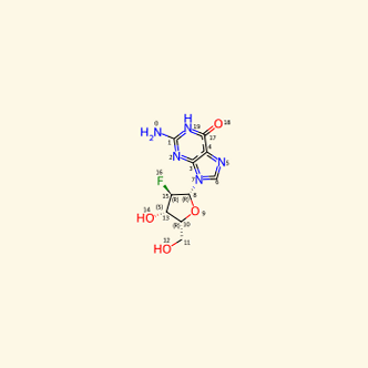 Nc1nc2c(ncn2[C@@H]2O[C@H](CO)[C@H](O)[C@H]2F)c(=O)[nH]1